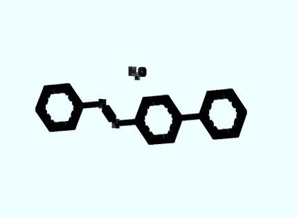 O.c1ccc(N=Nc2ccc(-c3ccccc3)cc2)cc1